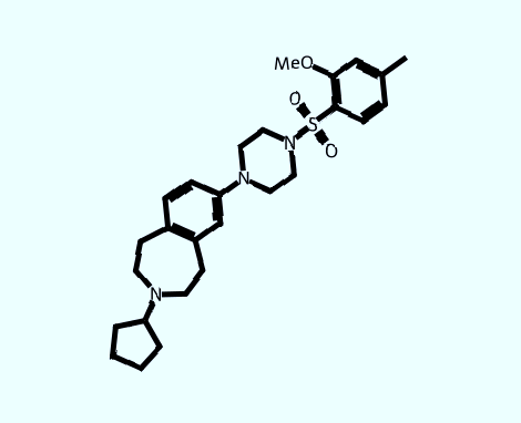 COc1cc(C)ccc1S(=O)(=O)N1CCN(c2ccc3c(c2)CCN(C2CCCC2)CC3)CC1